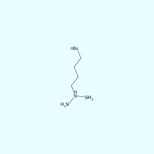 CCCCCCCC[SiH]([SiH3])[SiH3]